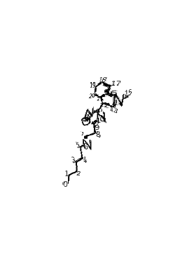 CCCCCCN=CCc1nc(-c2cn(C)c3ccccc23)no1